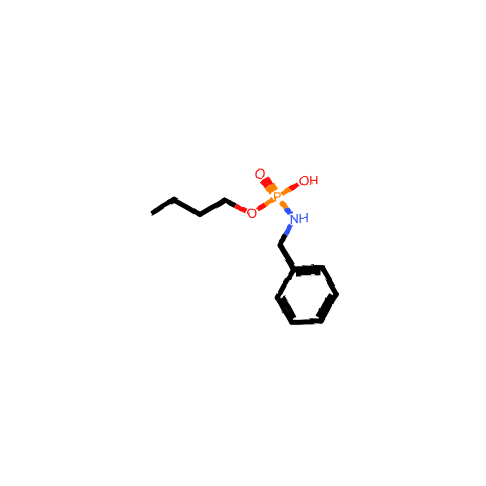 CCCCOP(=O)(O)NCc1ccccc1